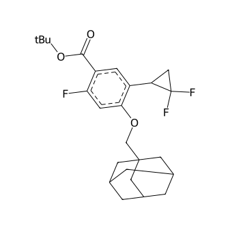 CC(C)(C)OC(=O)c1cc(C2CC2(F)F)c(OCC23CC4CC(CC(C4)C2)C3)cc1F